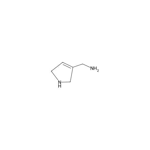 NCC1=CCNC1